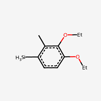 CCOc1ccc([SiH3])c(C)c1OCC